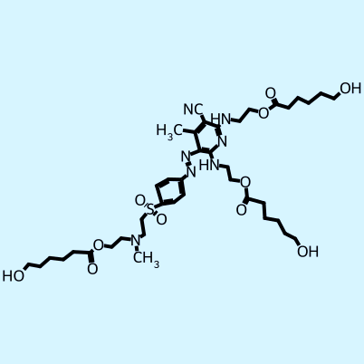 Cc1c(C#N)c(NCCOC(=O)CCCCCO)nc(NCCOC(=O)CCCCCO)c1/N=N/c1ccc(S(=O)(=O)CCN(C)CCOC(=O)CCCCCO)cc1